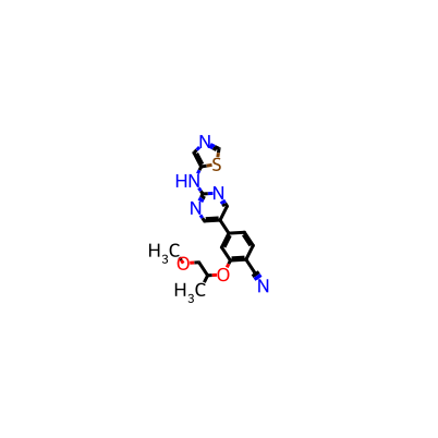 COCC(C)Oc1cc(-c2cnc(Nc3cncs3)nc2)ccc1C#N